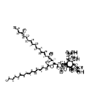 CCCCCCCCCCCCCCCC(=O)O[C@H](COC(=O)CCCCCCCCCCSC(=O)CCC)COP(=O)(O)OC1C(O)[C@@H](OP(=O)(O)O)C(O)[C@@H](OP(=O)(O)O)[C@H]1O